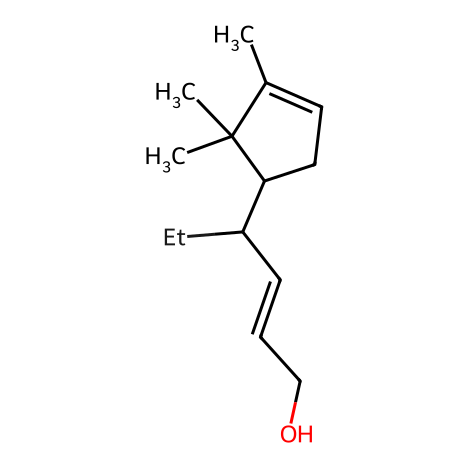 CCC(C=CCO)C1CC=C(C)C1(C)C